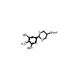 CCCCCC1COC(c2cc(C(C)(C)C)c(C)c(C(C)(C)C)c2)OC1